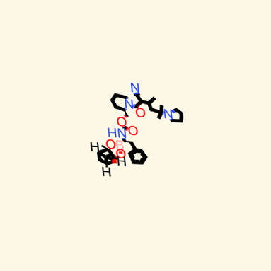 CC(CC(C)(C)N1CCCC1)C(C#N)C(=O)N1CCCC[C@@H]1COC(=O)N[C@@H](Cc1ccccc1)B1O[C@@H]2C[C@@H]3C[C@@H](C3(C)C)[C@]2(C)O1